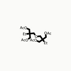 CCC(COCC(CC)(COC(C)=O)COC(C)=O)(COC(C)=O)COC(C)=O